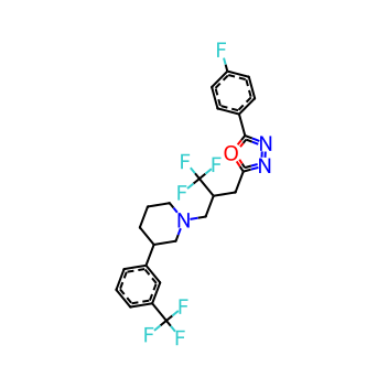 Fc1ccc(-c2nnc(CC(CN3CCCC(c4cccc(C(F)(F)F)c4)C3)C(F)(F)F)o2)cc1